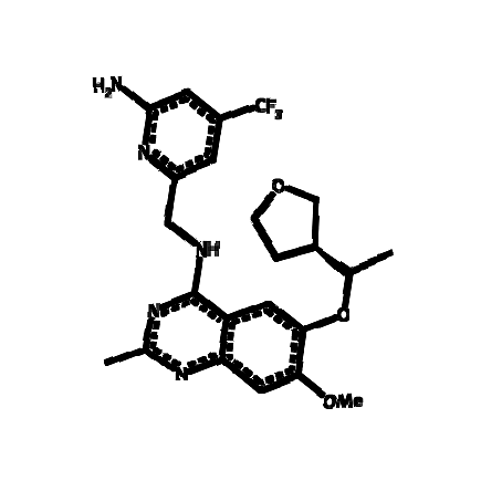 COc1cc2nc(C)nc(NCc3cc(C(F)(F)F)cc(N)n3)c2cc1OC(C)[C@H]1CCOC1